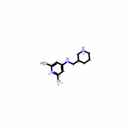 Cc1cc(NCC2CCCNC2)cc(C(F)(F)F)n1